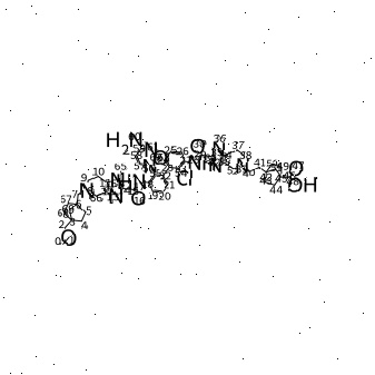 COCC12CCC(CN3CCc4c(nc(C(=O)Nc5cccc(-c6cccc(NC(=O)c7nc8c(n7C)CCN(CCC79CCC(C(=O)O)(CC7)C9)C8)c6Cl)c5-n5ccc(N)nc5=O)n4C)C3)(CC1)C2